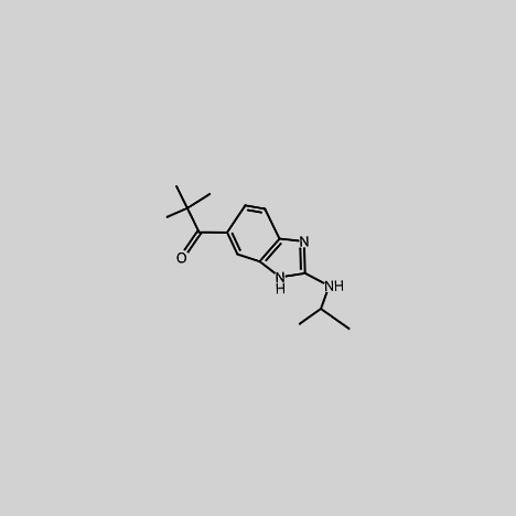 CC(C)Nc1nc2ccc(C(=O)C(C)(C)C)cc2[nH]1